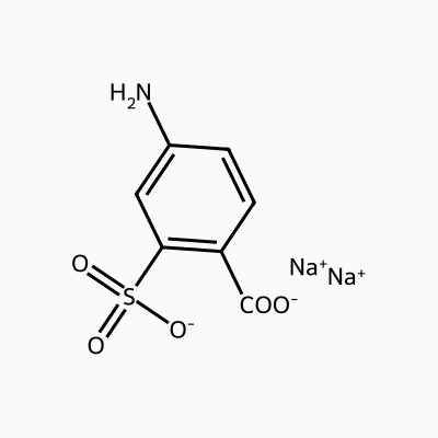 Nc1ccc(C(=O)[O-])c(S(=O)(=O)[O-])c1.[Na+].[Na+]